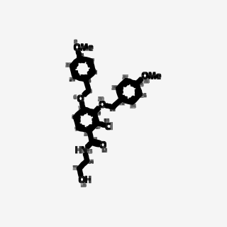 COc1ccc(COc2ccc(C(=O)NCCO)c(Cl)c2OCc2ccc(OC)cc2)cc1